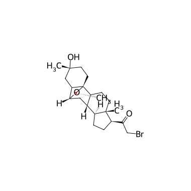 C[C@H]1O[C@@H]2C[C@@H]3C(CC[C@]4(C)[C@@H](C(=O)CBr)CC[C@@H]34)[C@]13CC[C@@](C)(O)CC23